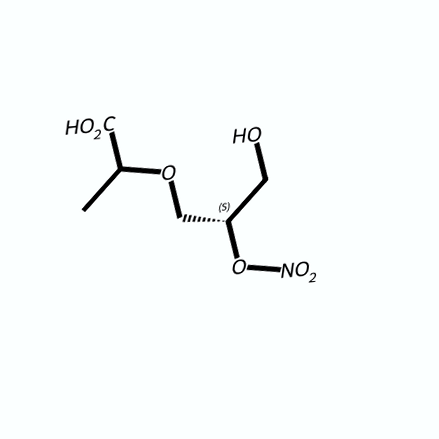 CC(OC[C@H](CO)O[N+](=O)[O-])C(=O)O